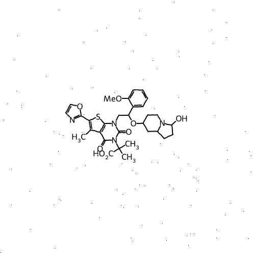 COc1ccccc1C(Cn1c(=O)n(C(C)(C)C(=O)O)c(=O)c2c(C)c(-c3ncco3)sc21)OC1CCN2C(O)CCC2C1